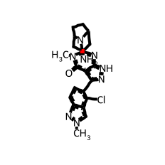 Cn1cc2c(Cl)c(-c3n[nH]c4nc(N5C6CCC5CC(N)C6)n(C)c(=O)c34)ccc2n1